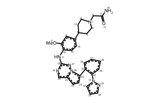 COc1cc(C2CCN(CC(N)=O)CC2)ccc1Nc1ncc2ccc(-c3ccccc3-n3cccn3)n2n1